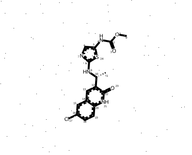 COC(=O)Nc1cnc(N[C@H](C)c2cc3cc(Cl)ccc3[nH]c2=O)s1